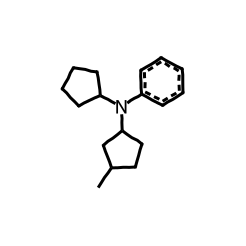 CC1CCC(N(c2ccccc2)C2CCCC2)C1